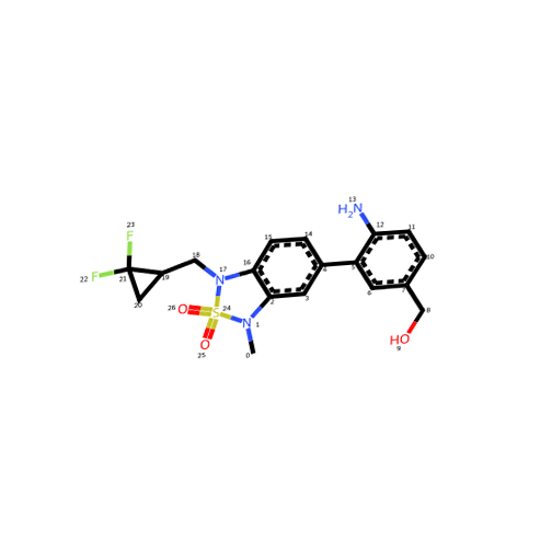 CN1c2cc(-c3cc(CO)ccc3N)ccc2N(CC2CC2(F)F)S1(=O)=O